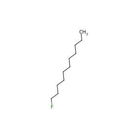 CCCCCCCCCCCF